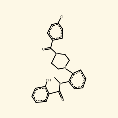 CN(C(=O)c1ccccc1O)c1ccccc1N1CCN(C(=O)c2ccc(Cl)cc2)CC1